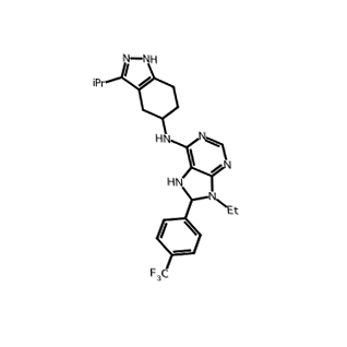 CCN1c2ncnc(NC3CCc4[nH]nc(C(C)C)c4C3)c2NC1c1ccc(C(F)(F)F)cc1